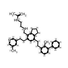 C=C(C)NCCNCc1c(CCc2cncc(C)c2)cc(CCc2cccc(-c3ccccc3)c2C)c2c1CCC2